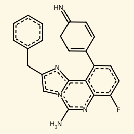 N=C1C=CC(c2ccc(F)c3nc(N)n4cc(Cc5ccccc5)nc4c23)=CC1